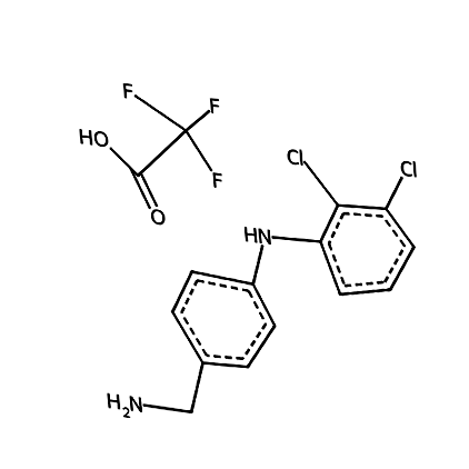 NCc1ccc(Nc2cccc(Cl)c2Cl)cc1.O=C(O)C(F)(F)F